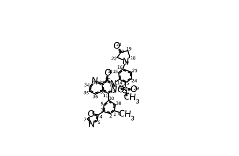 Cc1cc(-c2cnco2)cc(-c2nn(-c3cc(N4CCC(=O)C4)ccc3S(C)(=O)=O)c(=O)c3ncccc23)c1